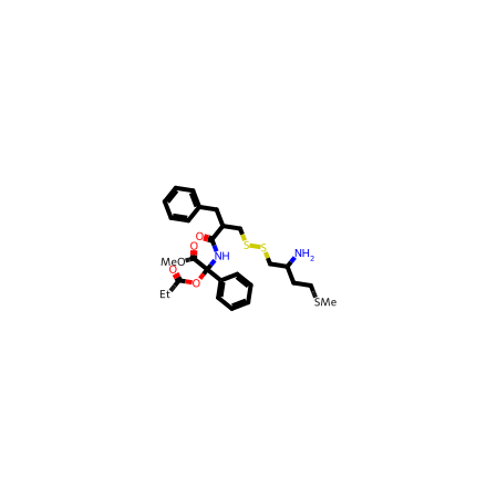 CCC(=O)OC(NC(=O)C(CSSCC(N)CCSC)Cc1ccccc1)(C(=O)OC)c1ccccc1